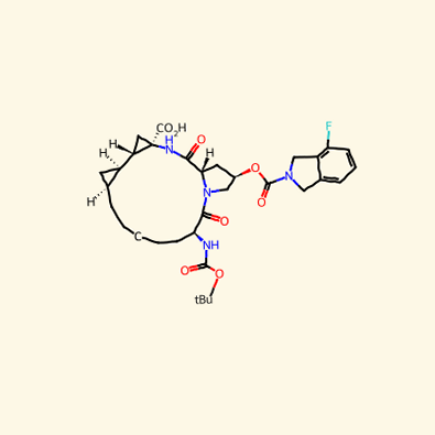 CC(C)(C)OC(=O)N[C@H]1CCCCC[C@H]2C[C@H]2[C@@H]2C[C@@]2(C(=O)O)NC(=O)[C@@H]2C[C@@H](OC(=O)N3Cc4cccc(F)c4C3)CN2C1=O